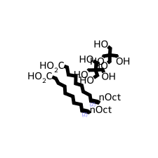 CCCCCCCC/C=C\CCCCCCCC(=O)O.CCCCCCCC/C=C\CCCCCCCC(=O)O.OCC(CO)(CO)CO.OCC(CO)(CO)CO